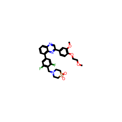 COCCOc1ccc(-c2cnc3cccc(-c4cc(F)c(CN5CCS(=O)(=O)CC5)c(F)c4)c3n2)cc1OC